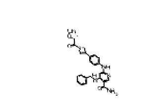 COCC(=O)N1CC(c2ccc(Nc3cc(NCc4ccccc4)c(C(N)=O)cn3)cc2)C1